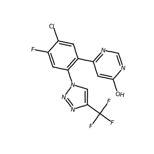 Oc1cc(-c2cc(Cl)c(F)cc2-n2cc(C(F)(F)F)nn2)ncn1